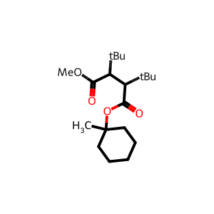 COC(=O)C(C(C(=O)OC1(C)CCCCC1)C(C)(C)C)C(C)(C)C